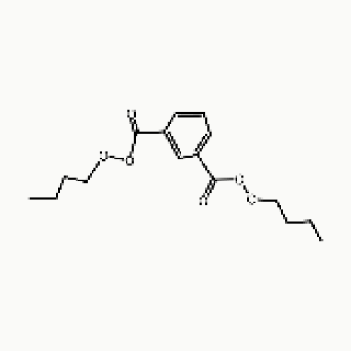 CCCCOOC(=O)c1cccc(C(=O)OOCCCC)c1